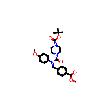 COC(=O)c1ccc(CN(C(=O)N2CCN(C(=O)OC(C)(C)C)CC2)c2ccc(OC)cc2)cc1